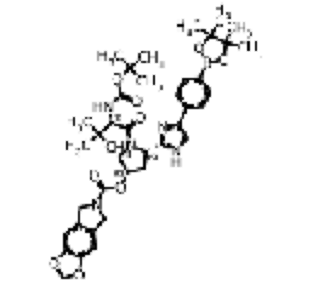 CC(C)(C)OC(=O)N[C@H](C(=O)N1C[C@H](OC(=O)N2Cc3cc4c(cc3C2)OCO4)C[C@H]1c1nc(-c2ccc(B3OC(C)(C)C(C)(C)O3)cc2)c[nH]1)C(C)(C)C